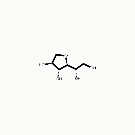 OC[C@H](O)[C@@H]1[Se]C[C@H](O)[C@H]1O